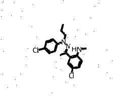 CCCN(/N=C(\C)c1cc(Cl)ccc1NC)c1ccc(Cl)cc1